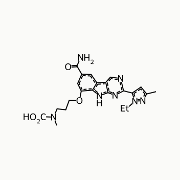 CCn1nc(C)cc1-c1ncc2c(n1)[nH]c1c(OCCCN(C)C(=O)O)cc(C(N)=O)cc12